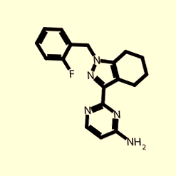 Nc1ccnc(-c2nn(Cc3ccccc3F)c3c2CCCC3)n1